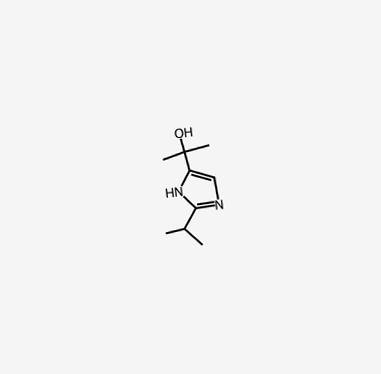 CC(C)c1ncc(C(C)(C)O)[nH]1